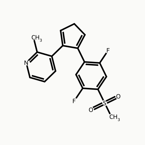 Cc1ncccc1C1=CCC=C1c1cc(F)c(S(C)(=O)=O)cc1F